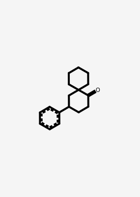 O=C1CCC(c2ccccc2)CC12CCCCC2